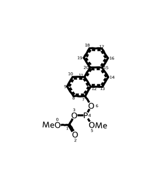 COC(=O)OP(OC)Oc1cccc2c1ccc1ccccc12